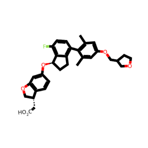 Cc1cc(OCC2CCOC2)cc(C)c1-c1ccc(F)c2c1CC[C@H]2Oc1ccc2c(c1)OC[C@H]2CC(=O)O